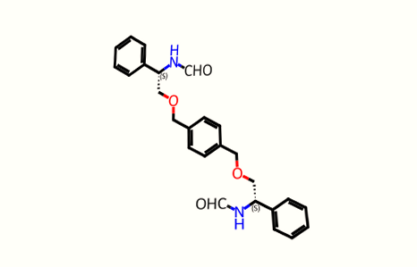 O=CN[C@H](COCc1ccc(COC[C@@H](NC=O)c2ccccc2)cc1)c1ccccc1